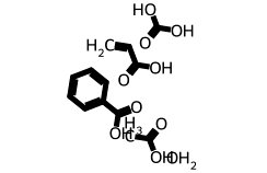 C=CC(=O)O.CC(=O)O.O.O=C(O)O.O=C(O)c1ccccc1